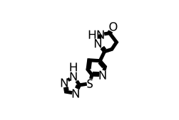 O=C1CCC(c2ccc(Sc3ncn[nH]3)nc2)=NN1